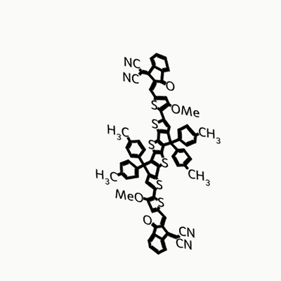 COc1cc(/C=C2\C(=O)c3ccccc3C2=C(C#N)C#N)sc1-c1cc2c(s1)-c1sc3c4c(sc3c1C2(c1ccc(C)cc1)c1ccc(C)cc1)-c1sc(-c2sc(/C=C3\C(=O)c5ccccc5C3=C(C#N)C#N)cc2OC)cc1C4(c1ccc(C)cc1)c1ccc(C)cc1